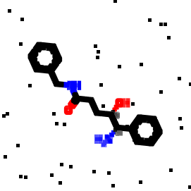 N[C@@H](c1ccccc1)[C@@H](O)CCC(=O)NCc1ccccc1